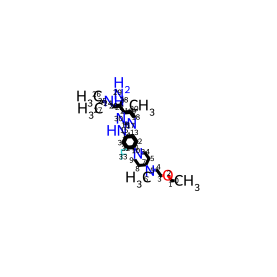 CCOCCN(C)C1CCN(c2ccc(Nc3ncc(C)c(/C(=C/NC(C)C)CN)n3)cc2F)CC1